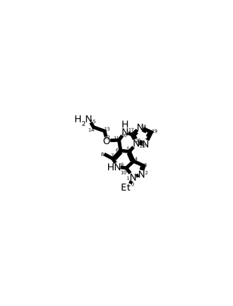 CCN1N=CC2=C3C(=C(C)NC21)C(OCCN)Nc1ncnn13